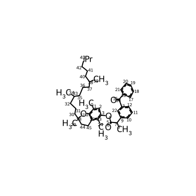 Cc1cc(OC(=O)C(C)c2cccc(C(=O)c3ccccc3)c2)c(C)c2c1OC(C)(CCCC(C)CCCC(C)CCCC(C)C)CC2